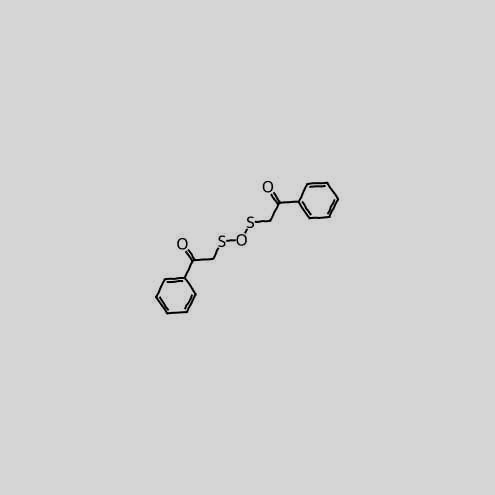 O=C(CSOSCC(=O)c1ccccc1)c1ccccc1